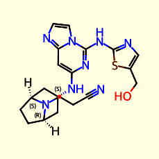 N#CCCN1[C@@H]2CC[C@H]1C[C@H](Nc1cc3nccn3c(Nc3ncc(CO)s3)n1)C2